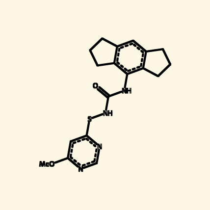 COc1cc(SNC(=O)Nc2c3c(cc4c2CCC4)CCC3)ncn1